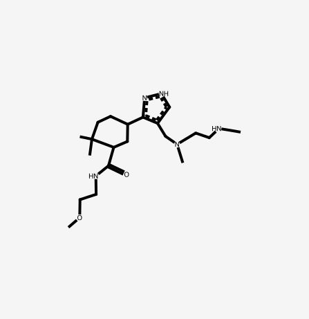 CNCCN(C)Cc1c[nH]nc1C1CCC(C)(C)C(C(=O)NCCOC)C1